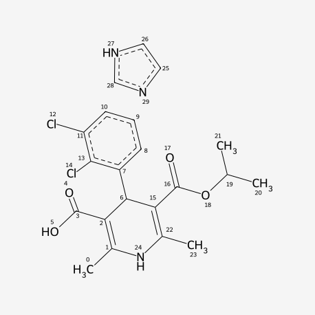 CC1=C(C(=O)O)C(c2cccc(Cl)c2Cl)C(C(=O)OC(C)C)=C(C)N1.c1c[nH]cn1